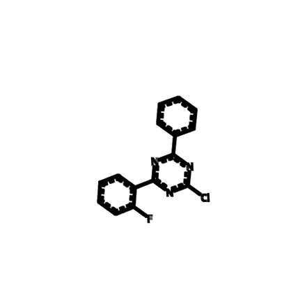 Fc1ccccc1-c1nc(Cl)nc(-c2ccccc2)n1